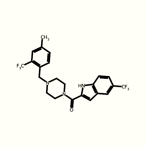 Cc1ccc(CN2CCN(C(=O)c3cc4cc(C(F)(F)F)ccc4[nH]3)CC2)c(C(F)(F)F)c1